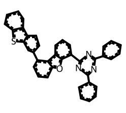 c1ccc(-c2nc(-c3ccccc3)nc(-c3cccc4c3oc3cccc(-c5ccc6c(c5)sc5ccccc56)c34)n2)cc1